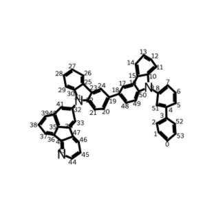 c1ccc(-c2cccc(-n3c4ccccc4c4cc(-c5ccc6c(c5)c5ccccc5n6-c5cc6c7c(cccc7c5)-c5ncccc5-6)ccc43)c2)cc1